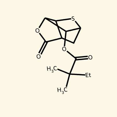 CCC(C)(C)C(=O)OC1C2CC3C(=O)OC1C3S2